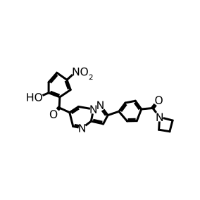 O=C(c1cnc2cc(-c3ccc(C(=O)N4CCC4)cc3)nn2c1)c1cc([N+](=O)[O-])ccc1O